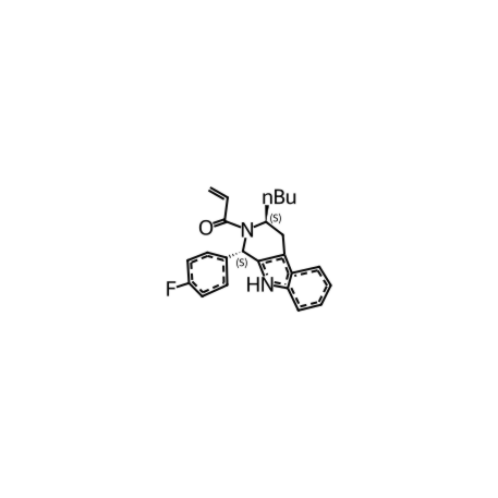 C=CC(=O)N1[C@@H](CCCC)Cc2c([nH]c3ccccc23)[C@@H]1c1ccc(F)cc1